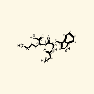 CSCC[C@H](NC(=O)[C@H](Cc1c[nH]c2ccccc12)NC(=O)CN)C(=O)O